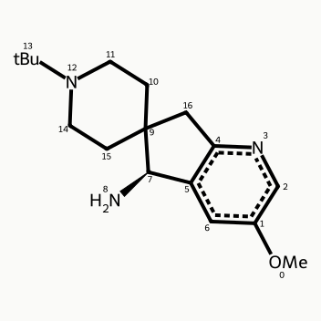 COc1cnc2c(c1)[C@@H](N)C1(CCN(C(C)(C)C)CC1)C2